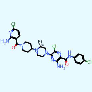 CC[C@H]1CN(c2nc(N)c(C(=O)Nc3ccc(Cl)cc3)nc2Cl)CCN1C1CCN(C(=O)c2ccc(Cl)nc2N)CC1